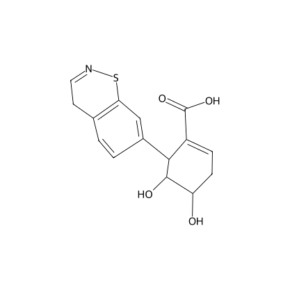 O=C(O)C1=CCC(O)C(O)C1c1ccc2c(c1)SN=CC2